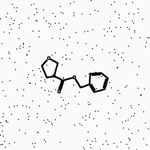 O=C(OCc1ccccc1)N1CCOC1